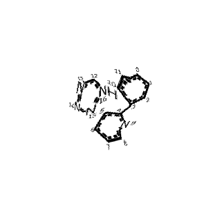 c1ccc(-c2ccccn2)cc1.c1nnn[nH]1